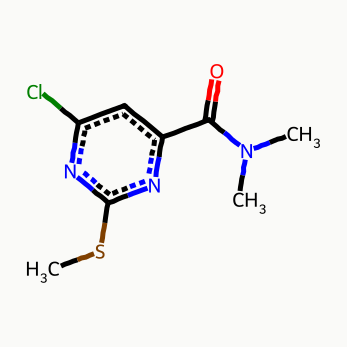 CSc1nc(Cl)cc(C(=O)N(C)C)n1